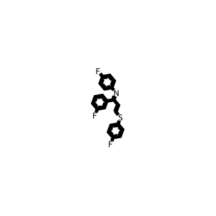 Fc1ccc(N=C(C=CSc2ccc(F)cc2)c2cccc(F)c2)cc1